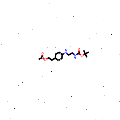 CC(=O)OCCC1CCC(NCCNC(=O)OC(C)(C)C)CC1